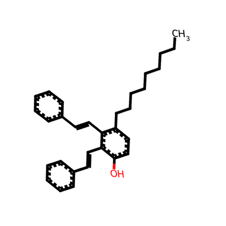 CCCCCCCCCc1ccc(O)c(C=Cc2ccccc2)c1C=Cc1ccccc1